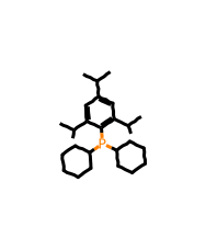 CC(C)c1cc(C(C)C)c(P(C2CCCCC2)C2CCCCC2)c(C(C)C)c1